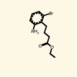 CCOC(=O)CCCc1c(N)cccc1Br